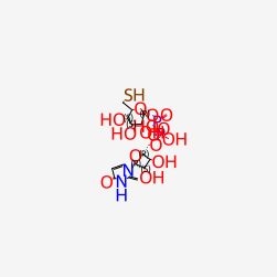 C=C1NC(=O)C=CN1[C@@H]1O[C@H](COP(=O)(O)OP(=O)(O)O[C@H]2OC(CS)[C@@H](O)[C@H](O)C2O)C(O)[C@@H]1O